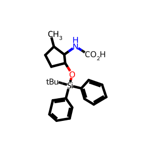 CC1CCC(O[Si](c2ccccc2)(c2ccccc2)C(C)(C)C)C1NC(=O)O